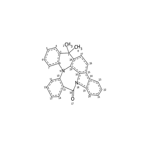 CC1(C)c2ccccc2N2c3ccccc3C(=O)n3c4ccccc4c4ccc1c2c43